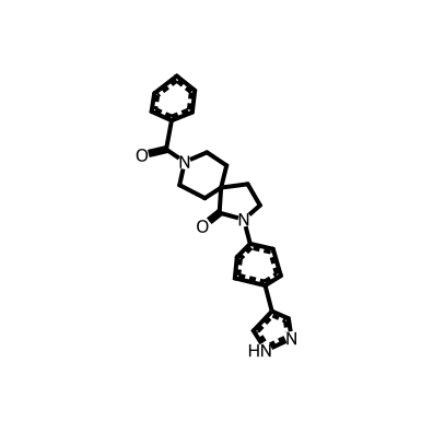 O=C(c1ccccc1)N1CCC2(CC1)CCN(c1ccc(-c3cn[nH]c3)cc1)C2=O